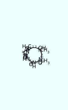 C[C@@H]1CCC[C@](C)(O)CCCN(C)C(=O)CNC(=O)CNC(=O)[C@@H]2CCCN2C1=O